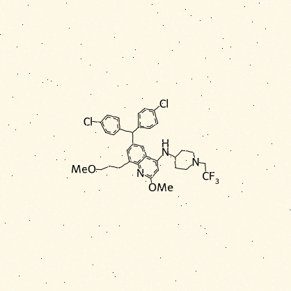 COCCCc1cc(C(c2ccc(Cl)cc2)c2ccc(Cl)cc2)cc2c(NC3CCN(CC(F)(F)F)CC3)cc(OC)nc12